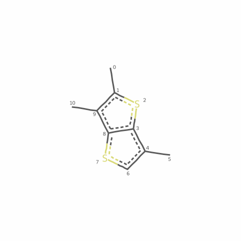 Cc1sc2c(C)csc2c1C